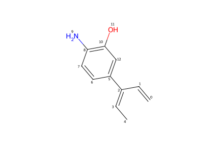 C=C/C(=C\C)c1ccc(N)c(O)c1